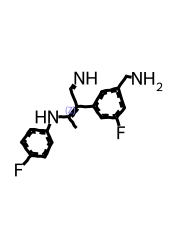 C/C(Nc1ccc(F)cc1)=C(/C=N)c1cc(F)cc(CN)c1